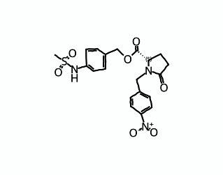 CS(=O)(=O)Nc1ccc(COC(=O)[C@@H]2CCC(=O)N2Cc2ccc([N+](=O)[O-])cc2)cc1